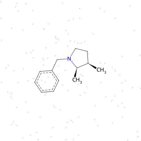 C[C@@H]1CCN(Cc2ccccc2)[C@@H]1C